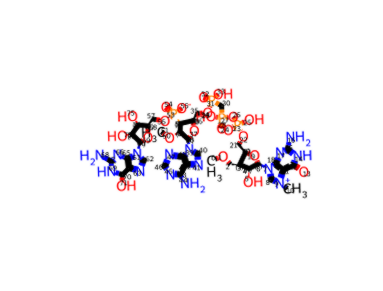 COC[C@H]1[C@@H](O)[C@H](n2c[n+](C)c3c(=O)[nH]c(N)nc32)O[C@@H]1COP(=O)(O)OP(=O)(O)CP(=O)(O)OC[C@H]1O[C@@H](n2cnc3c(N)ncnc32)[C@H](OC)[C@@H]1P(=O)([O-])OC[C@H]1O[C@@H](n2cnc3c2N=C(N)NC3O)[C@H](O)[C@@H]1O